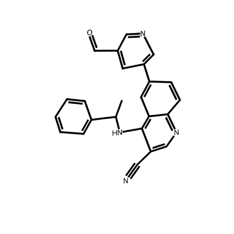 CC(Nc1c(C#N)cnc2ccc(-c3cncc(C=O)c3)cc12)c1ccccc1